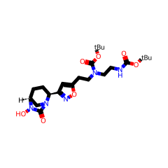 CC(C)(C)OC(=O)NCCN(CCc1cc([C@@H]2CC[C@H]3CN2C(=O)N3O)no1)C(=O)OC(C)(C)C